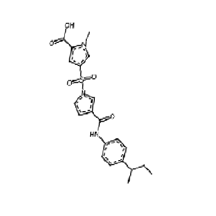 CCC(C)c1ccc(NC(=O)c2ccn(S(=O)(=O)c3cc(C(=O)O)n(C)c3)c2)cc1